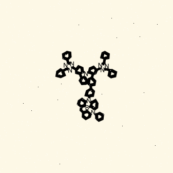 c1ccc(-c2nc(-c3ccccc3)nc(-c3ccc(-n4c5ccccc5c5cc(-c6nc(-c7ccccc7)nc(-c7ccccc7)n6)ccc54)c(-c4ccc(-c5ccc(N6c7cccc8c7B7c9c(cccc9N(c9ccccc9)c9cccc6c97)C8)cc5)cc4)c3)n2)cc1